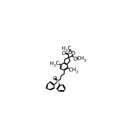 COC(=O)C1(C(=O)OC)Cc2c(C)cc(CCCP(=O)(c3ccccc3)c3ccccc3)c(C)c2C1